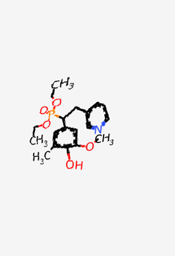 CCOP(=O)(OCC)C(Cc1cccnc1)c1cc(C)c(O)c(OC)c1